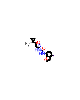 O=C(Nc1cc(C2(C(F)(F)F)CC2)on1)Nc1ccc(I)c2ccoc12